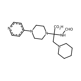 O=CNC(CN1CCCCC1)(C(=O)O)N1CCN(c2ccncc2)CC1